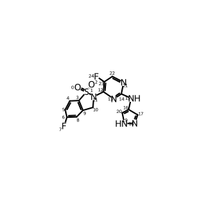 O=S1(=O)c2ccc(F)cc2CN1c1nc(Nc2cn[nH]c2)ncc1F